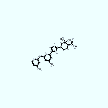 Cc1ccnc(Nc2cc(C)cc(-c3cnc(C4CCC(C(=O)O)C(C)(C)C4)s3)n2)c1